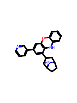 c1cncc(-c2cc3c(c(C4CC5CCC(C4)N5)c2)Nc2ccccc2O3)c1